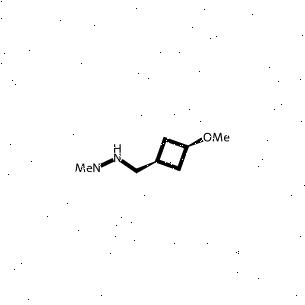 CNNC[C@H]1C[C@@H](OC)C1